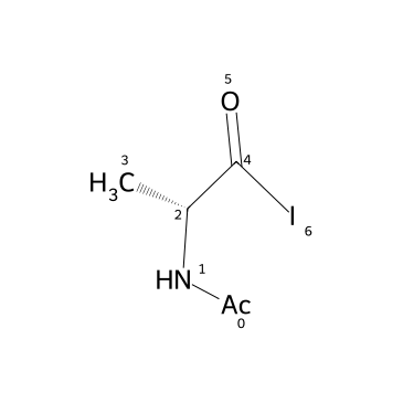 CC(=O)N[C@H](C)C(=O)I